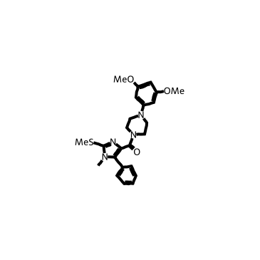 COc1cc(OC)cc(N2CCN(C(=O)c3nc(SC)n(C)c3-c3ccccc3)CC2)c1